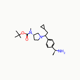 C[C@H](N)c1ccc(C(CC2CC2)N2CC[C@H](N(C)C(=O)OC(C)(C)C)C2)cc1